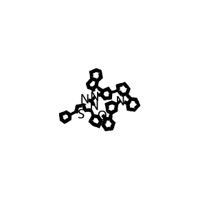 c1ccc(-c2cc3nc(-n4c5ccc(-c6cccc7c8ccccc8n(-c8ccc9oc%10ccccc%10c9c8)c67)cc5c5c6ccccc6ccc54)nc(-c4ccccc4)c3s2)cc1